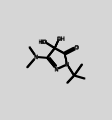 CN(C)C1=NN(C(C)(C)C)C(=O)C1(O)O